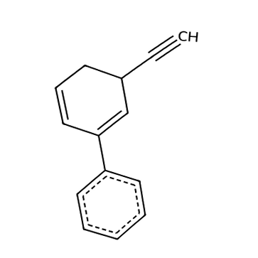 C#CC1C=C(c2ccccc2)C=CC1